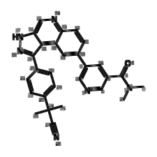 CN(C)C(=O)c1cncc(-c2ccc3ncc4[nH]nc(-c5ccc(C(C)(C)C#N)cc5)c4c3c2)c1